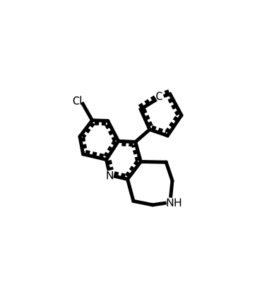 Clc1ccc2nc3c(c(-c4ccccc4)c2c1)CCNCC3